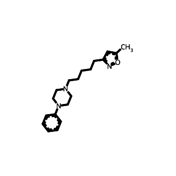 Cc1cc(CCCCCN2CCN(c3ccccc3)CC2)no1